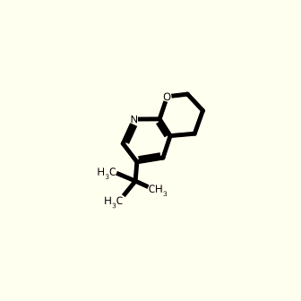 CC(C)(C)c1cnc2c(c1)CCCO2